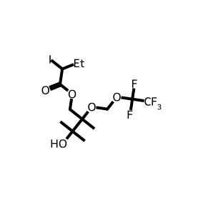 CCC(I)C(=O)OCC(C)(OCOC(F)(F)C(F)(F)F)C(C)(C)O